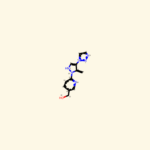 C=C1C(n2ccnn2)=CNN1c1ccc(CO)cn1